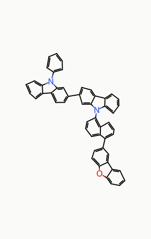 c1ccc(-n2c3ccccc3c3ccc(-c4ccc5c6ccccc6n(-c6cccc7c(-c8ccc9oc%10ccccc%10c9c8)cccc67)c5c4)cc32)cc1